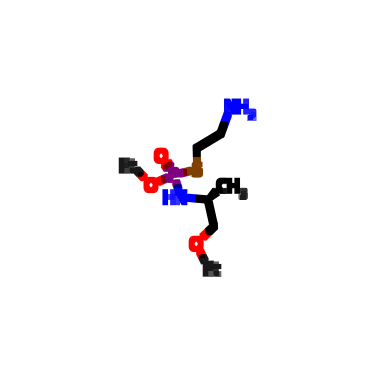 CCOC[C@H](C)NP(=O)(OCC)SCCN